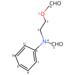 O=COCCN(C=O)c1ccccc1